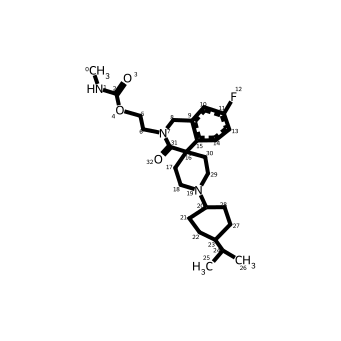 CNC(=O)OCCN1Cc2cc(F)ccc2C2(CCN(C3CCC(C(C)C)CC3)CC2)C1=O